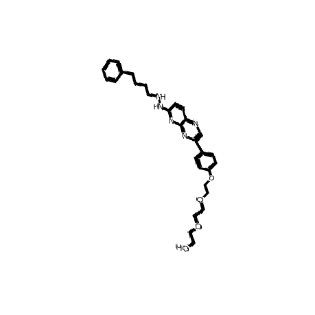 OCCOCCOCCOc1ccc(-c2cnc3ccc(NNCCCCc4ccccc4)nc3n2)cc1